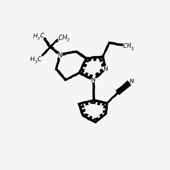 CCc1nn(-c2ccccc2C#N)c2c1CN(C(C)(C)C)CC2